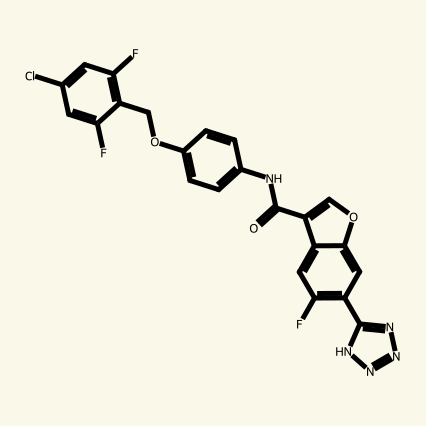 O=C(Nc1ccc(OCc2c(F)cc(Cl)cc2F)cc1)c1coc2cc(-c3nnn[nH]3)c(F)cc12